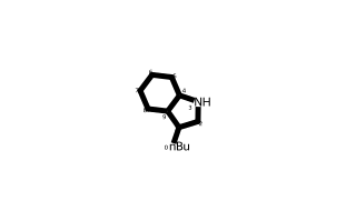 CCCCC1CNC2CCCCC12